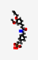 C#CCOc1ccc(CCC(=O)NCc2ccc(CCS(=O)(=O)O)cc2)cc1OC